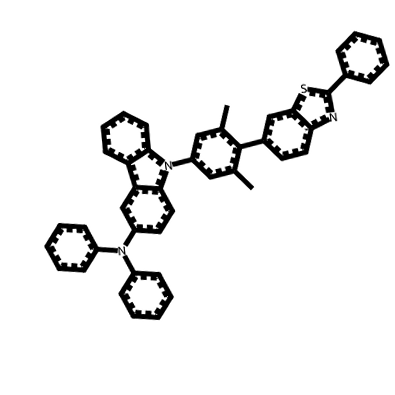 Cc1cc(-n2c3ccccc3c3cc(N(c4ccccc4)c4ccccc4)ccc32)cc(C)c1-c1ccc2nc(-c3ccccc3)sc2c1